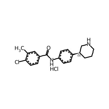 Cc1cc(C(=O)Nc2ccc([C@@H]3CCCNC3)cc2)ccc1Cl.Cl